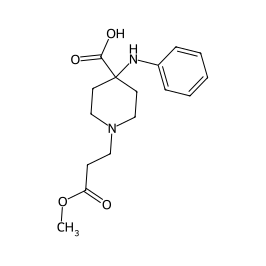 COC(=O)CCN1CCC(Nc2ccccc2)(C(=O)O)CC1